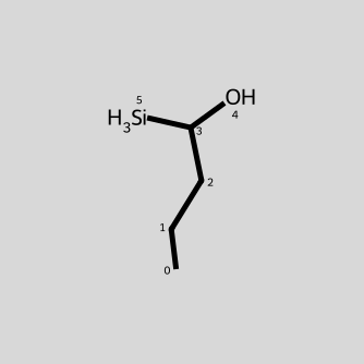 CCCC(O)[SiH3]